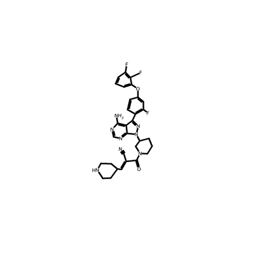 N#CC(=CC1CCNCC1)C(=O)N1CCCC(n2nc(-c3ccc(Oc4cccc(F)c4F)cc3F)c3c(N)ncnc32)C1